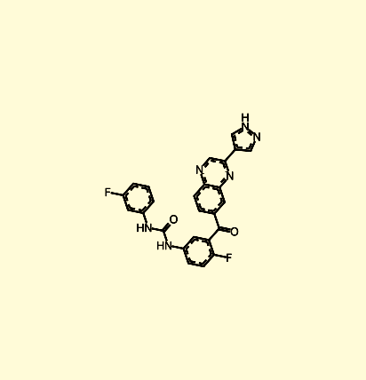 O=C(Nc1cccc(F)c1)Nc1ccc(F)c(C(=O)c2ccc3ncc(-c4cn[nH]c4)nc3c2)c1